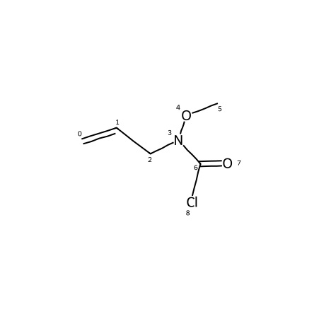 C=CCN(OC)C(=O)Cl